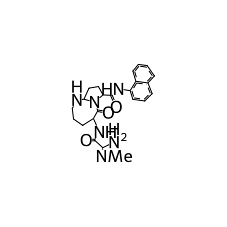 CN[C@@H](N)C(=O)NC1CCCNC2CCC(C(=O)Nc3cccc4ccccc34)N2C1=O